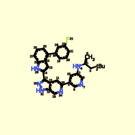 C=C(CC(C)(C)C)Nc1cncc(-c2cc3c(-c4cc5c(-c6cccc(F)c6)cccc5[nH]4)n[nH]c3cn2)c1